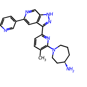 Cc1ccc(-c2n[nH]c3cnc(-c4cccnc4)cc23)nc1N1CCC[C@@H](N)CC1